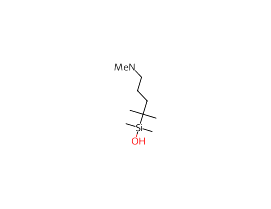 CNCCCC(C)(C)[Si](C)(C)O